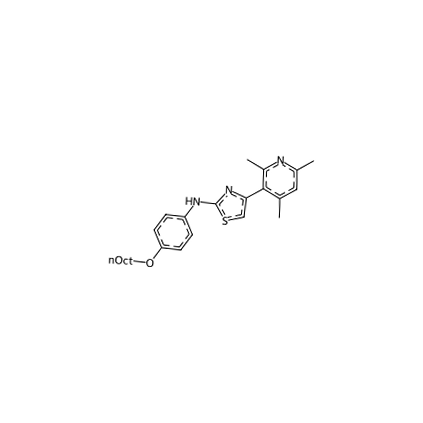 CCCCCCCCOc1ccc(Nc2nc(-c3c(C)cc(C)nc3C)cs2)cc1